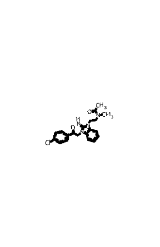 CC(=O)N(C)CCn1c(=N)n(CC(=O)c2ccc(Cl)cc2)c2ccccc21